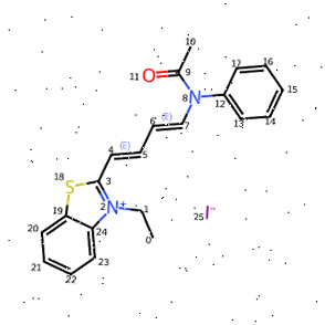 CC[n+]1c(/C=C/C=C/N(C(C)=O)c2ccccc2)sc2ccccc21.[I-]